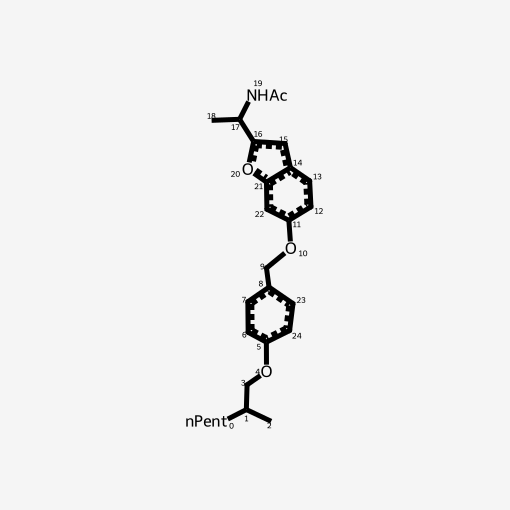 CCCCCC(C)COc1ccc(COc2ccc3cc(C(C)NC(C)=O)oc3c2)cc1